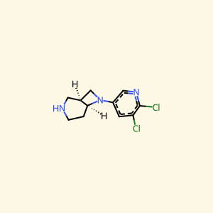 Clc1cc(N2C[C@@H]3CNCC[C@@H]32)cnc1Cl